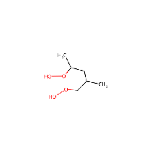 CC(COO)CC(C)OO